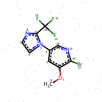 COc1cc(-n2ccnc2C(F)(F)F)cnc1Br